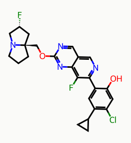 Oc1cc(Cl)c(C2CC2)cc1-c1ncc2cnc(OC[C@@]34CCCN3C[C@H](F)C4)nc2c1F